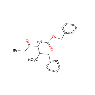 CC(C)CC(=O)C(NC(=O)OCc1ccccc1)C(Cc1ccccc1)C(=O)O